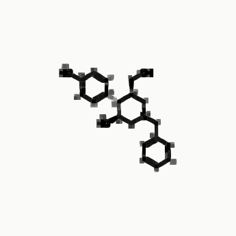 OC[C@H]1CN(Cc2ccccc2)C[C@@H](O)[C@@H]1c1ccc(O)cc1